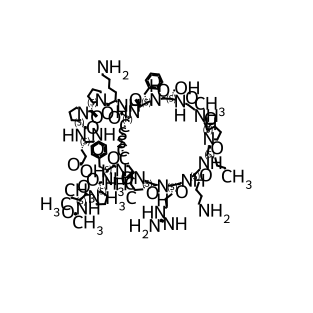 CCCC[C@@H]1NC(=O)[C@H](CCCCN)NC(=O)[C@H](CCCNC(=N)N)NC(=O)[C@H](CC(C)C)NC(=O)C(NC(=O)[C@H](Cc2ccccc2)NC(=O)[C@@H]2CCCN2C(=O)[C@@H](NC(C)=O)C(C)C)CCSSC[C@@H](C(=O)NC(CCCCN)C(=O)N2CCC[C@H]2C(=O)N2CCC[C@H]2C(=O)N[C@@H](CCC(=O)O)C(N)=O)NC(=O)[C@H](Cc2ccccc2)NC(=O)[C@H](CO)NC(=O)C(C)NC(=O)[C@@H]2CCCN2C1=O